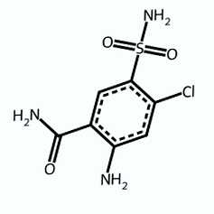 NC(=O)c1cc(S(N)(=O)=O)c(Cl)cc1N